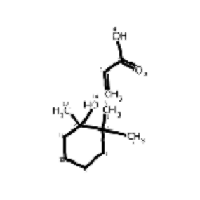 C=CC(=O)O.CC1(C)CCCCC1(C)O